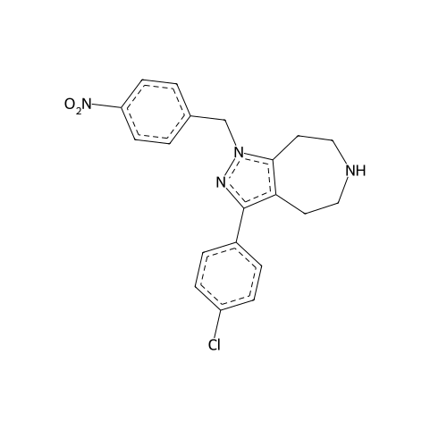 O=[N+]([O-])c1ccc(Cn2nc(-c3ccc(Cl)cc3)c3c2CCNCC3)cc1